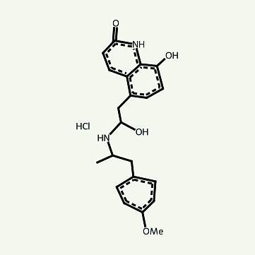 COc1ccc(CC(C)NC(O)Cc2ccc(O)c3[nH]c(=O)ccc23)cc1.Cl